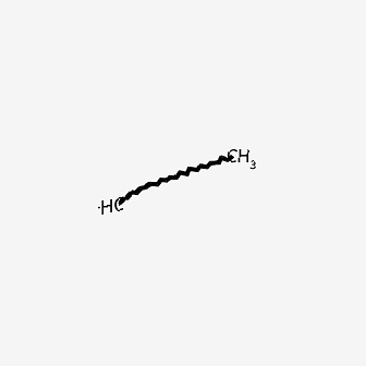 [CH]=CC=CC=CC=CCCCCCCCCCCCCCCCC